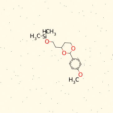 COc1ccc(C2OCCC(CCO[SiH](C)C)O2)cc1